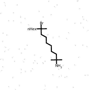 CCCCCCC(C)(Br)CCCCCCC(C)(C)N